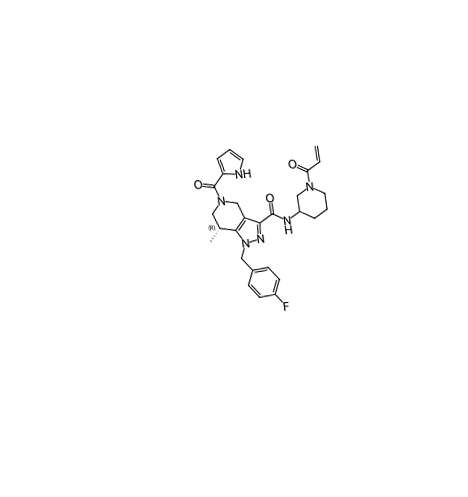 C=CC(=O)N1CCCC(NC(=O)c2nn(Cc3ccc(F)cc3)c3c2CN(C(=O)c2ccc[nH]2)C[C@H]3C)C1